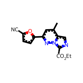 CCOC(=O)c1ncc2c(C)cc(-c3ccc(C#N)o3)nn12